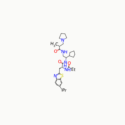 CCC(=O)N[C@@H](Cc1nc2ccc(C(C)C)cc2s1)C(=O)NC(CNC(=O)C(C)CN1CCCC1)C1CCCC1